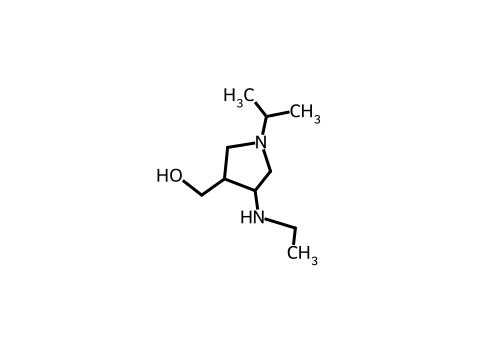 CCNC1CN(C(C)C)CC1CO